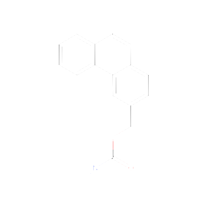 NC(=O)OCc1ccc2ccc3ccccc3c2c1